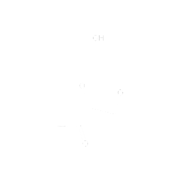 CCC(=O)C([C]=O)OCCO